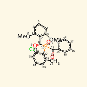 COc1cccc(OC)c1C(=O)P(=O)(C(=O)c1ccccc1)c1c(C)cccc1Cl